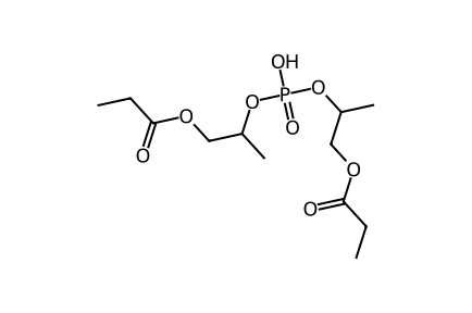 CCC(=O)OCC(C)OP(=O)(O)OC(C)COC(=O)CC